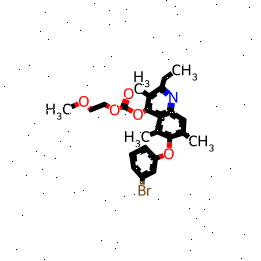 CCc1nc2cc(C)c(Oc3cccc(Br)c3)c(C)c2c(OC(=O)OCCOC)c1C